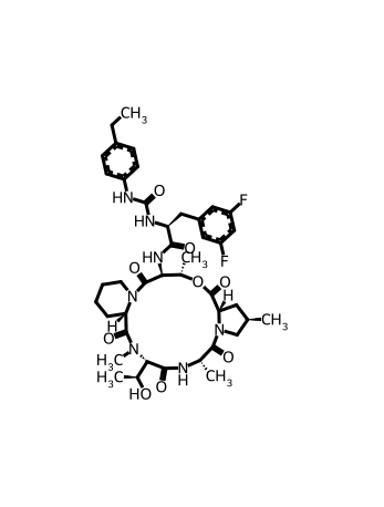 CCc1ccc(NC(=O)N[C@@H](Cc2cc(F)cc(F)c2)C(=O)N[C@@H]2C(=O)N3CCCC[C@H]3C(=O)N(C)[C@@H]([C@H](C)O)C(=O)N[C@@H](C)C(=O)N3C[C@H](C)C[C@H]3C(=O)O[C@H]2C)cc1